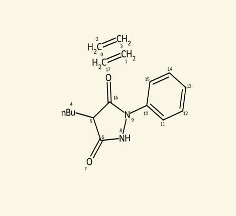 C=C.C=C.CCCCC1C(=O)NN(c2ccccc2)C1=O